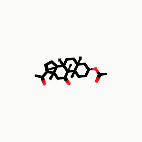 CC(=O)O[C@@H]1CC[C@@]2(C)[C@@H](CC[C@H]3[C@]4(C)CC=C(C(C)=O)[C@@]4(C)CC(=O)[C@@]32C)C1